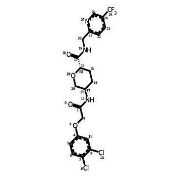 O=C(COc1ccc(Cl)c(Cl)c1)N[C@@H]1CC[C@@H](C(=O)NCc2ccc(C(F)(F)F)cn2)OC1